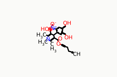 C#CCCC#COC(=O)C1=C(C)N(C)C(C)=C(C(=O)O)C1c1cc(=CO)c(=CO)cc1[N+](=O)[O-]